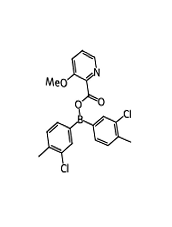 COc1cccnc1C(=O)OB(c1ccc(C)c(Cl)c1)c1ccc(C)c(Cl)c1